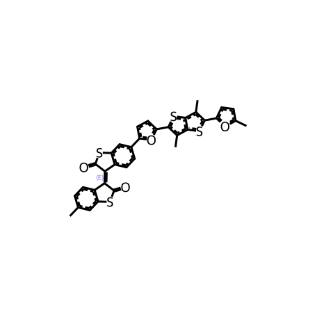 Cc1ccc2c(c1)SC(=O)/C2=C1/C(=O)Sc2cc(-c3ccc(-c4sc5c(C)c(-c6ccc(C)o6)sc5c4C)o3)ccc21